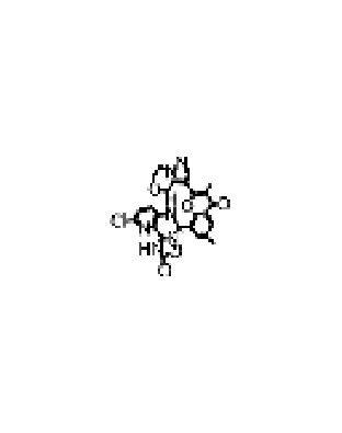 Cc1cc([C@@H](C)Nc2ccc(Cl)nc2-c2noc(=O)[nH]2)c2oc(-c3cnn4c3COCC4)c(C)c(=O)c2c1